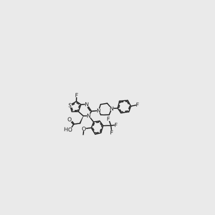 COc1ccc(C(F)(F)F)cc1N1C(N2CCN(c3ccc(F)cc3)CC2)=Nc2c(csc2F)[C@@H]1CC(=O)O